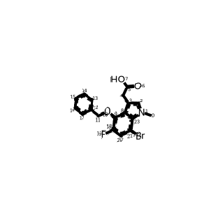 Cn1cc(CC(=O)O)c2c(OCc3ccccc3)c(F)cc(Br)c21